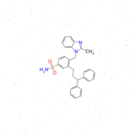 Cc1nc2ccccc2n1Cc1ccc(S(N)(=O)=O)cc1CCC(c1ccccc1)c1ccccc1